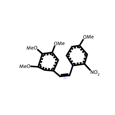 COc1ccc(/C=C\c2cc(OC)c(OC)c(OC)c2)c([N+](=O)[O-])c1